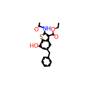 CCOC(=O)c1c(NC(C)=O)sc2c(O)cc(Cc3ccccc3)cc12